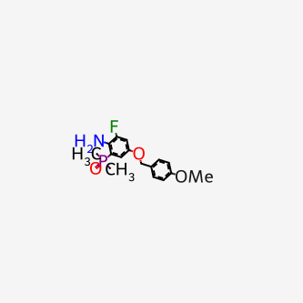 COc1ccc(COc2cc(F)c(N)c(P(C)(C)=O)c2)cc1